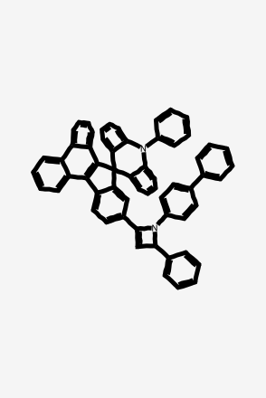 C1=C(c2ccc3c(c2)C2(c4ccccc4N(c4ccccc4)c4ccccc42)c2c-3c3ccccc3c3ccccc23)N(c2ccc(-c3ccccc3)cc2)C1c1ccccc1